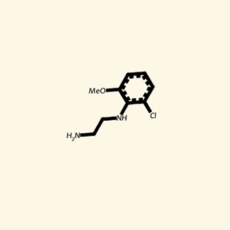 COc1cccc(Cl)c1NCCN